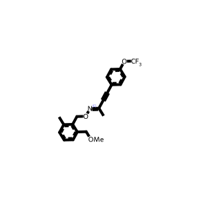 COCc1cccc(C)c1CO/N=C(\C)C#Cc1ccc(OC(F)(F)F)cc1